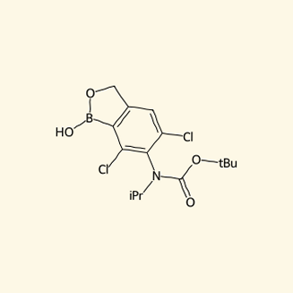 CC(C)N(C(=O)OC(C)(C)C)c1c(Cl)cc2c(c1Cl)B(O)OC2